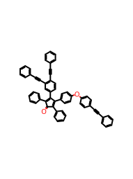 O=C1C(c2ccccc2)=C(c2ccc(Oc3ccc(C#Cc4ccccc4)cc3)cc2)C(c2ccc(C#Cc3ccccc3)c(C#Cc3ccccc3)c2)=C1c1ccccc1